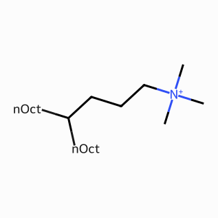 CCCCCCCCC(CCCCCCCC)CCC[N+](C)(C)C